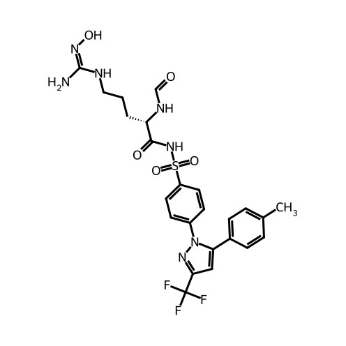 Cc1ccc(-c2cc(C(F)(F)F)nn2-c2ccc(S(=O)(=O)NC(=O)[C@H](CCCN/C(N)=N\O)NC=O)cc2)cc1